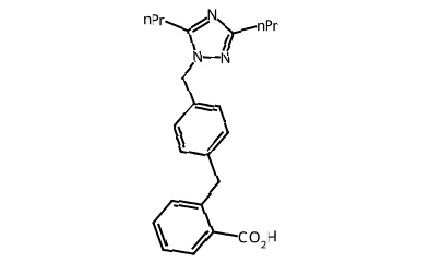 CCCc1nc(CCC)n(Cc2ccc(Cc3ccccc3C(=O)O)cc2)n1